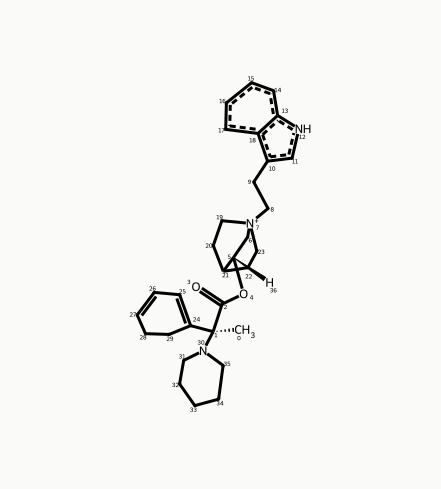 C[C@@](C(=O)O[C@H]1C[N+]2(CCc3c[nH]c4ccccc34)CCC1CC2)(C1=CC=CCC1)N1CCCCC1